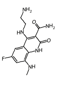 CNc1cc(F)cc2c(NCCN)c(C(N)=O)c(=O)[nH]c12